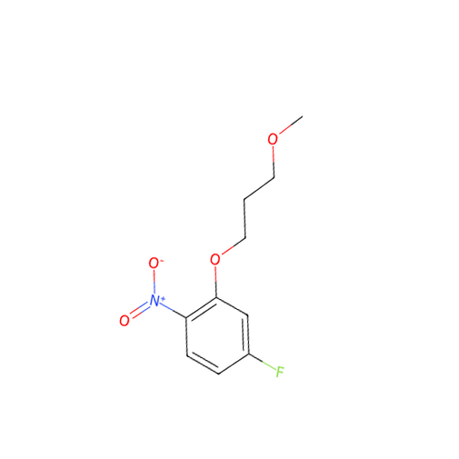 COCCCOc1cc(F)ccc1[N+](=O)[O-]